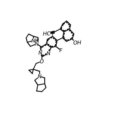 C#Cc1cccc2cc(O)cc(-c3c(F)cc4c(N5CC6CCC(C5)N6)nc(OCC5(CN6CC7CCCC7C6)CC5)nc4c3F)c12